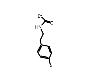 CCC(=O)NCCc1ccc(F)cc1